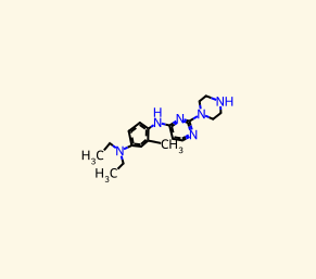 CCN(CC)c1ccc(Nc2ccnc(N3CCNCC3)n2)c(C)c1